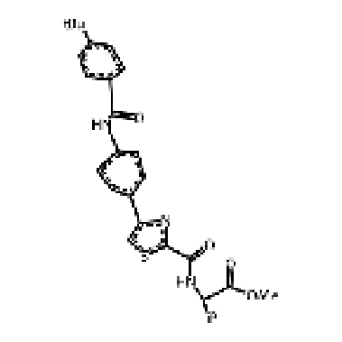 COC(=O)C(NC(=O)c1nc(-c2ccc(NC(=O)c3ccc(C(C)(C)C)cc3)cc2)cs1)C(C)C